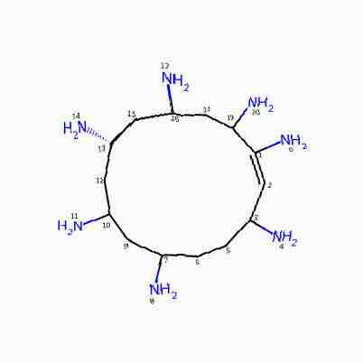 N/C1=C/C(N)CCC(N)CC(N)C[C@H](N)CC(N)CC1N